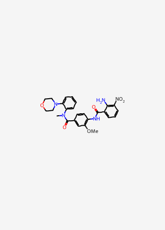 COc1cc(C(=O)N(C)c2ccccc2N2CCOCC2)ccc1NC(=O)c1cccc([N+](=O)[O-])c1N